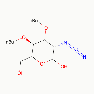 CCCCOC1[C@H](N=[N+]=[N-])C(O)OC(CO)[C@H]1OCCCC